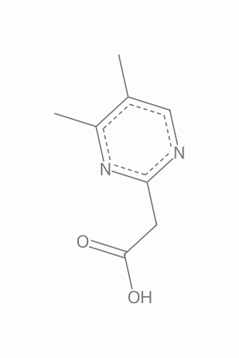 Cc1cnc(CC(=O)O)nc1C